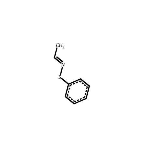 C/C=N/Sc1ccccc1